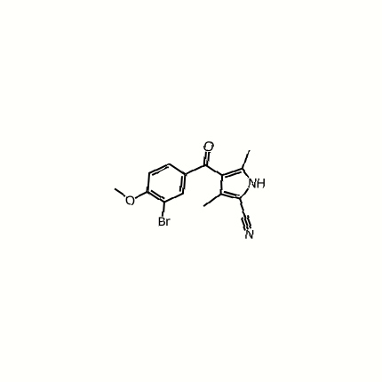 COc1ccc(C(=O)c2c(C)[nH]c(C#N)c2C)cc1Br